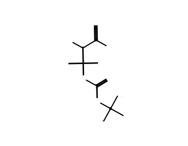 C=C(O)C(O)C(C)(C)NC(=O)OC(C)(C)C